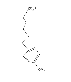 COc1ccc(CCCCCC(=O)O)cc1